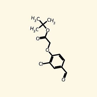 CC(C)(C)OC(=O)COc1ccc(C=O)cc1Cl